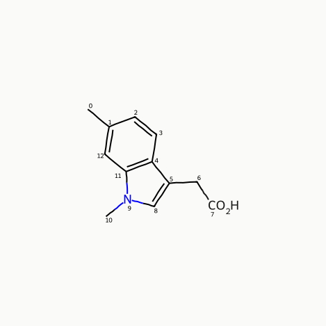 Cc1ccc2c(CC(=O)O)cn(C)c2c1